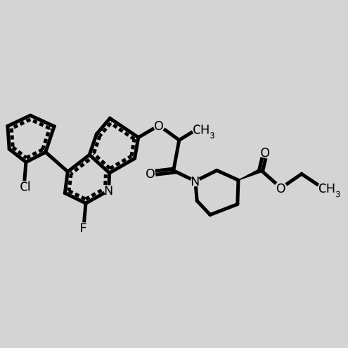 CCOC(=O)[C@H]1CCCN(C(=O)C(C)Oc2ccc3c(-c4ccccc4Cl)cc(F)nc3c2)C1